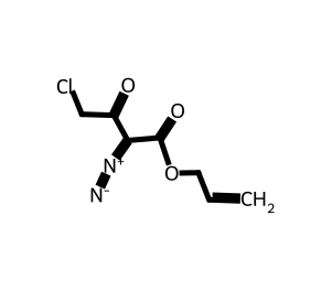 C=CCOC(=O)C(=[N+]=[N-])C(=O)CCl